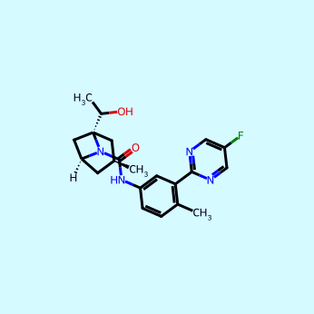 Cc1ccc(NC(=O)N2[C@H]3C[C@H](C)C[C@]2(C(C)O)C3)cc1-c1ncc(F)cn1